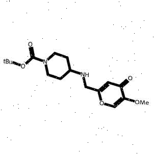 COc1coc(CNC2CCN(C(=O)OC(C)(C)C)CC2)cc1=O